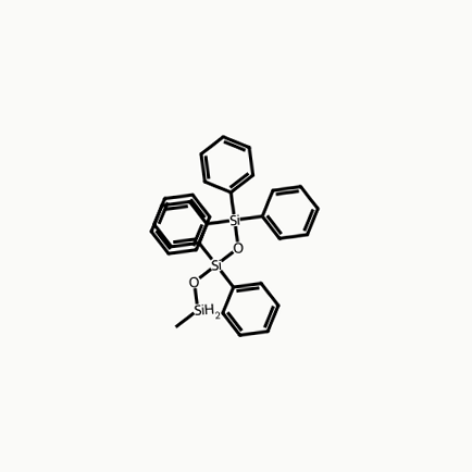 C[SiH2]O[Si](O[Si](c1ccccc1)(c1ccccc1)c1ccccc1)(c1ccccc1)c1ccccc1